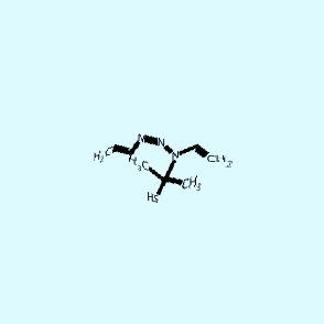 C=C/N=N\N(C=C)C(C)(C)S